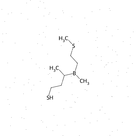 CSCCB(C)C(C)CCS